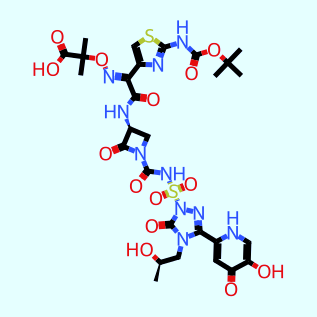 C[C@@H](O)Cn1c(-c2cc(=O)c(O)c[nH]2)nn(S(=O)(=O)NC(=O)N2C[C@H](NC(=O)C(=NOC(C)(C)C(=O)O)c3csc(NC(=O)OC(C)(C)C)n3)C2=O)c1=O